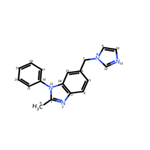 Cc1nc2ccc(Cn3ccnc3)cc2n1-c1ccccc1